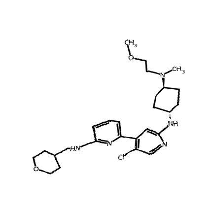 COCCN(C)[C@H]1CC[C@H](Nc2cc(-c3cccc(NCC4CCOCC4)n3)c(Cl)cn2)CC1